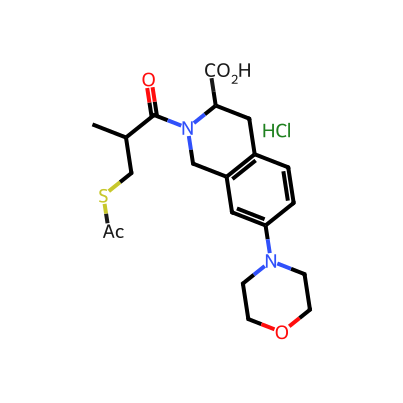 CC(=O)SCC(C)C(=O)N1Cc2cc(N3CCOCC3)ccc2CC1C(=O)O.Cl